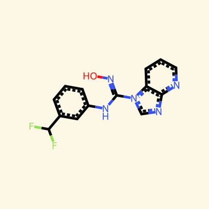 ON=C(Nc1cccc(C(F)F)c1)n1cnc2ncccc21